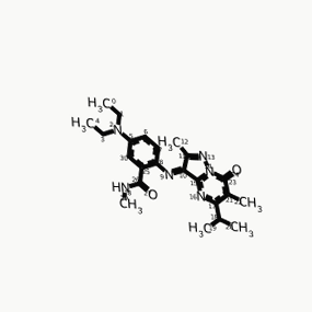 CCN(CC)c1ccc(N=C2C(C)=Nn3c2nc(C(C)C)c(C)c3=O)c(C(=O)NC)c1